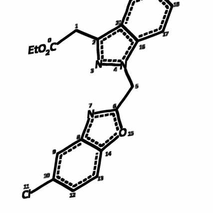 CCOC(=O)Cc1nn(Cc2nc3cc(Cl)ccc3o2)c2ccccc12